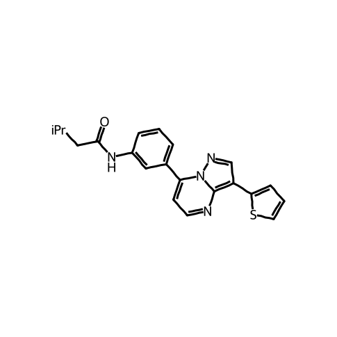 CC(C)CC(=O)Nc1cccc(-c2ccnc3c(-c4cccs4)cnn23)c1